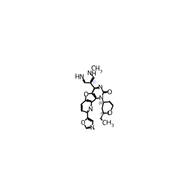 CC[C@H]1C[C@@H](n2c(=O)nc(/C(C=N)=C/NC)c3oc4ccc(-c5cnco5)nc4c32)CCO1